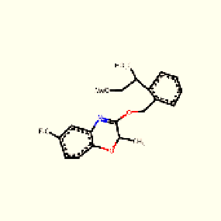 COCC(C(=O)O)c1ccccc1COC1=Nc2cc(C(F)(F)F)ccc2OC1C